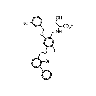 N#Cc1cccc(COc2cc(OCc3cccc(-c4ccccc4)c3Br)c(Cl)cc2CNC(CO)C(=O)O)c1